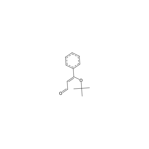 CC(C)(C)OC(=CC=O)c1ccccc1